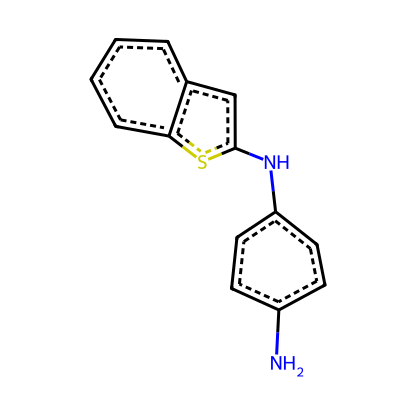 Nc1ccc(Nc2cc3ccccc3s2)cc1